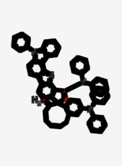 C=C1/C=C\C=C/Cc2cc(N(c3ccccc3)c3ccccc3)ccc2C12c1ccc(N(c3ccccc3)c3ccccc3)cc1-c1c2ccc2c1sc1c2ccc2c1c1ccccc1n2-c1ccccc1